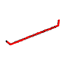 CCCCCCCC/C=C\CCCCCCCCOCCOCCOCCOCCOCCOCCOCCOCCOCCOCCOCCOCCOCCOCCOCCOCCOCCOCCOCCOCCOCCCCCCCC/C=C\CCCCCCCC